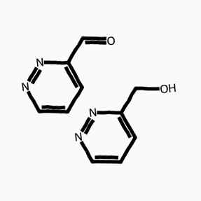 O=Cc1cccnn1.OCc1cccnn1